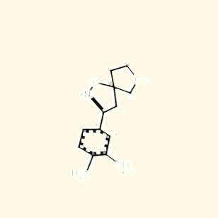 Cc1ccc(C2=NOC3(CCOC3)C2)cc1C